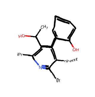 CCCCCc1c(C(C)C)nc(C(C)C)c(C(C)O)c1-c1ccccc1O